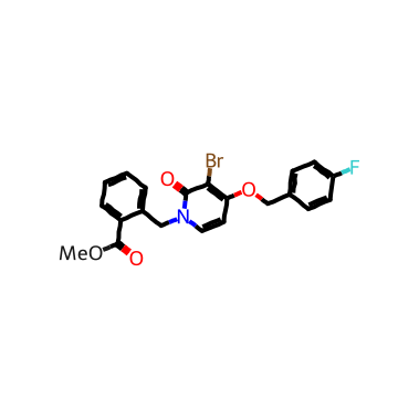 COC(=O)c1ccccc1Cn1ccc(OCc2ccc(F)cc2)c(Br)c1=O